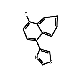 Fc1ccc(-c2cs[c]n2)c2ccccc12